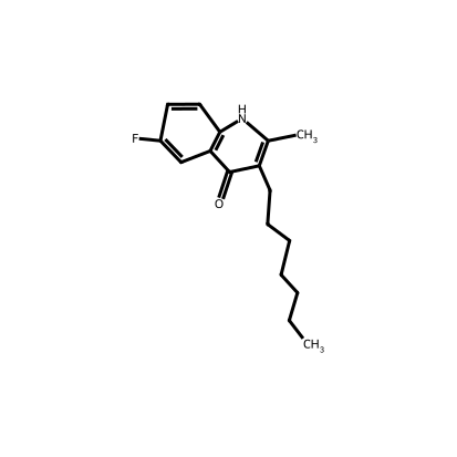 CCCCCCCc1c(C)[nH]c2ccc(F)cc2c1=O